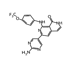 Nc1ncc(-c2cc3cc[nH]c(=O)c3c(Nc3ccc(OC(F)(F)F)cc3)n2)cn1